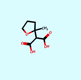 CC1(C(C(=O)O)C(=O)O)CCCO1